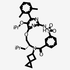 Cc1cccc(C)c1-c1nc2nc(c1OC(C)C)OC[C@@H](CC(C)C)N(C1CC3(CC3)C1)C(=O)c1cccc(c1)S(=O)(=O)N2